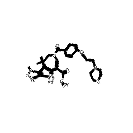 CC(C)OC(=O)C1=CN(C(=O)c2ccc(OCCN3CCOCC3)cc2)CC(C)(C)c2c1[nH]c1nnn(C)c21